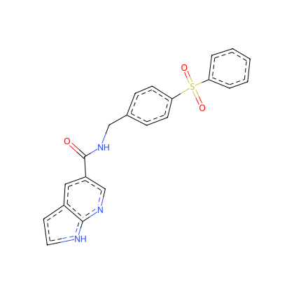 O=C(NCc1ccc(S(=O)(=O)c2ccccc2)cc1)c1cnc2[nH]ccc2c1